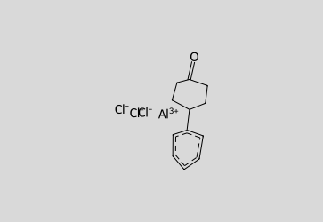 O=C1CCC(c2ccccc2)CC1.[Al+3].[Cl-].[Cl-].[Cl-]